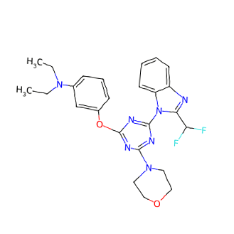 CCN(CC)c1cccc(Oc2nc(N3CCOCC3)nc(-n3c(C(F)F)nc4ccccc43)n2)c1